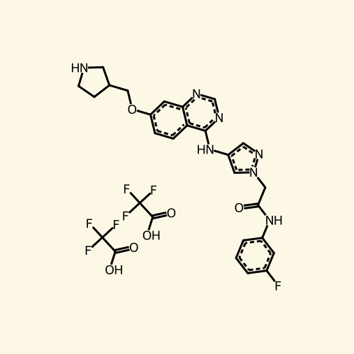 O=C(Cn1cc(Nc2ncnc3cc(OCC4CCNC4)ccc23)cn1)Nc1cccc(F)c1.O=C(O)C(F)(F)F.O=C(O)C(F)(F)F